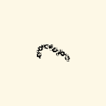 Cc1ccc(Oc2ccc(OC3CCN(C(=O)Oc4ccc(NC(=O)c5ccc(CN6CCOCC6)cc5)nc4)CC3)cc2)nc1